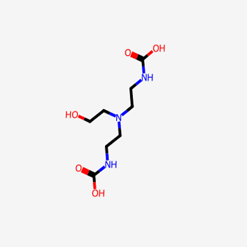 O=C(O)NCCN(CCO)CCNC(=O)O